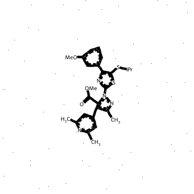 COC(=O)c1c(-c2cc(C)nc(C)c2)c(C)nn1-c1nc(-c2cccc(OC)c2)c(SC(C)C)s1